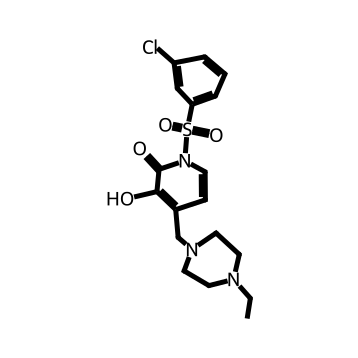 CCN1CCN(Cc2ccn(S(=O)(=O)c3cccc(Cl)c3)c(=O)c2O)CC1